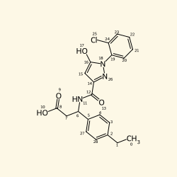 CCc1ccc(C(CC(=O)O)NC(=O)c2cc(O)n(-c3ccccc3Cl)n2)cc1